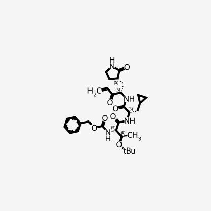 C=CC(=O)[C@H](C[C@@H]1CCNC1=O)NC(=O)[C@H](CC1CC1)NC(=O)[C@@H](NC(=O)OCc1ccccc1)[C@@H](C)OC(C)(C)C